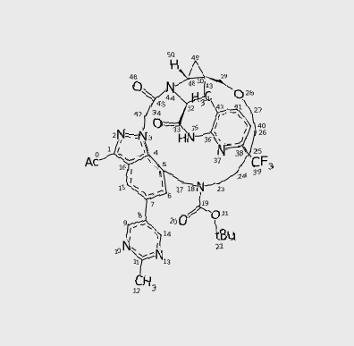 CC(=O)c1nn2c3c(cc(-c4cnc(C)nc4)cc13)CN(C(=O)OC(C)(C)C)CCCCCOC[C@@]13C[C@@H](C(=O)Nc4nc(C(F)(F)F)ccc4C)N(C(=O)C2)[C@@H]1C3